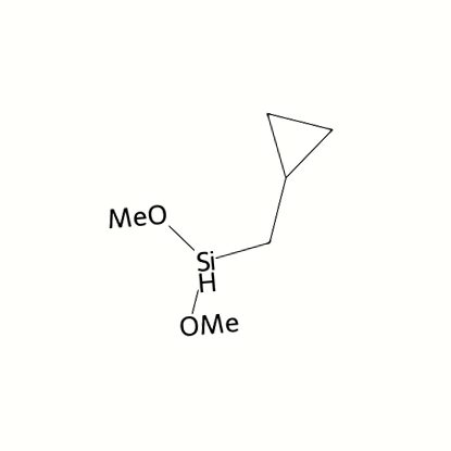 CO[SiH](CC1CC1)OC